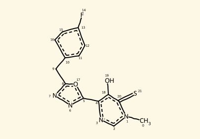 Cn1cnc(-c2nnc(Cc3ccc(F)cc3)o2)c(O)c1=S